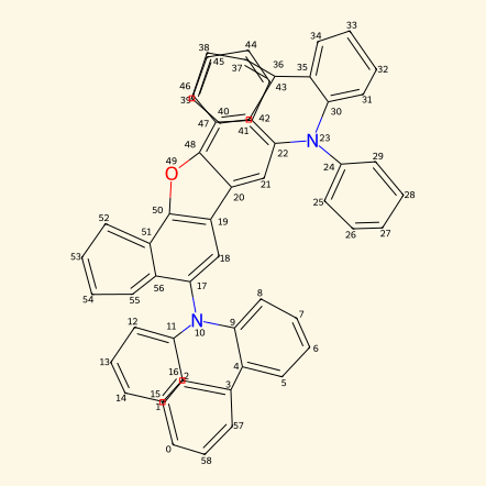 c1ccc(-c2ccccc2N(c2ccccc2)c2cc3c4cc(N(c5ccccc5)c5ccccc5-c5ccccc5)c5ccccc5c4oc3c3ccccc23)cc1